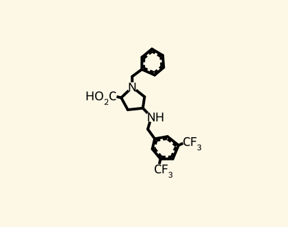 O=C(O)C1CC(NCc2cc(C(F)(F)F)cc(C(F)(F)F)c2)CN1Cc1ccccc1